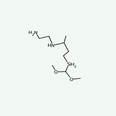 COC(OC)[SiH2]CCC(C)NCCN